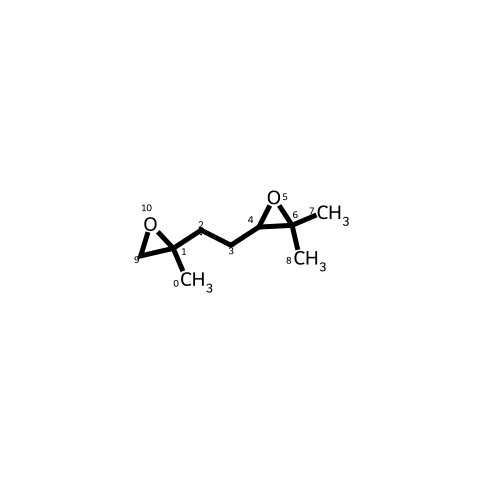 CC1([CH]CC2OC2(C)C)CO1